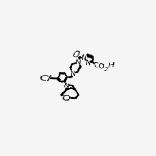 O=C(O)c1ccn(C(=O)N2CCN(Cc3ccc(Cl)cc3N3CC4CCOCC3C4)CC2)n1